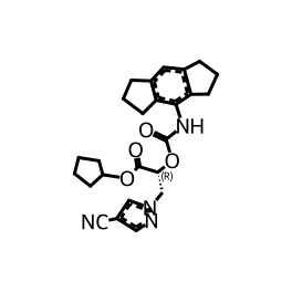 N#Cc1cnn(C[C@@H](OC(=O)Nc2c3c(cc4c2CCC4)CCC3)C(=O)OC2CCCC2)c1